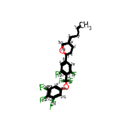 CCCCC1CCC(c2cc(F)c(C(F)(F)Oc3cc(F)c(F)c(F)c3)c(F)c2)OC1